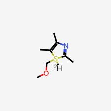 [2H]S1(COC)C(C)=NC(C)=C1C